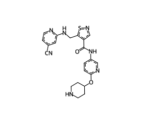 N#Cc1ccnc(NCc2sncc2C(=O)Nc2ccc(OC3CCNCC3)nc2)c1